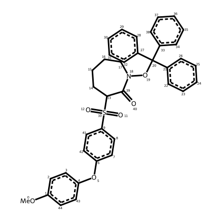 COc1ccc(Oc2ccc(S(=O)(=O)C3CCCCN(OC(c4ccccc4)(c4ccccc4)c4ccccc4)C3=O)cc2)cc1